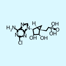 Nc1nc(Cl)nc2c1ncn2[C@H]1[C@H](O)[C@H](O)[C@@]2(CCP(=O)(O)O)C[C@H]12